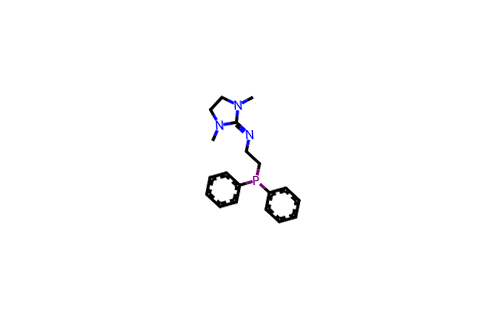 CN1CCN(C)C1=NCCP(c1ccccc1)c1ccccc1